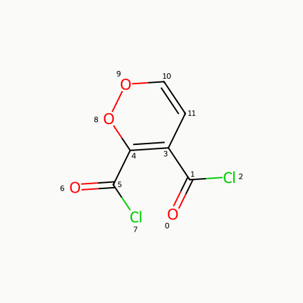 O=C(Cl)C1=C(C(=O)Cl)OOC=C1